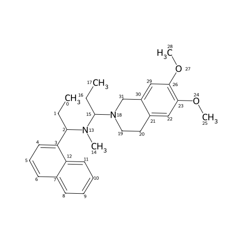 CCC(c1cccc2ccccc12)N(C)C(CC)N1CCc2cc(OC)c(OC)cc2C1